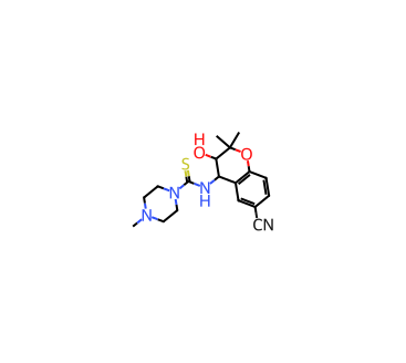 CN1CCN(C(=S)NC2c3cc(C#N)ccc3OC(C)(C)C2O)CC1